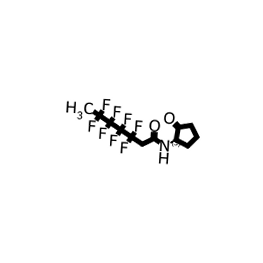 CC(F)(F)C(F)(F)C(F)(F)C(F)(F)CC(=O)N[C@H]1CCCC1=O